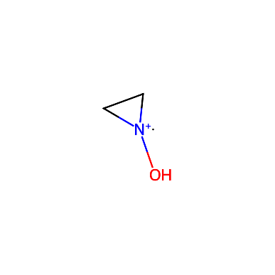 O[N+]1CC1